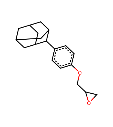 c1cc(C2C3CC4CC(C3)CC2C4)ccc1OCC1CO1